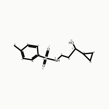 Cc1ccc(S(=O)(=O)NCCC(O)C2CC2)cc1